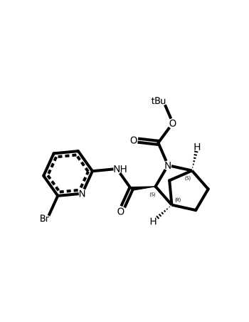 CC(C)(C)OC(=O)N1[C@H]2CC[C@H](C2)[C@H]1C(=O)Nc1cccc(Br)n1